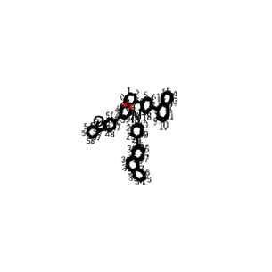 c1ccc(-c2ccc(-c3cccc4ccccc34)cc2N(c2ccc(-c3ccc4c(ccc5ccccc54)c3)cc2)c2cccc(-c3ccc4c(c3)oc3ccccc34)c2)cc1